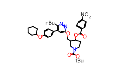 CCCCc1nnc(OCC2CN(C(=O)OC(C)(C)C)CCC2OC(=O)c2ccc([N+](=O)[O-])cc2)cc1-c1ccc(OC2CCCCC2)cc1